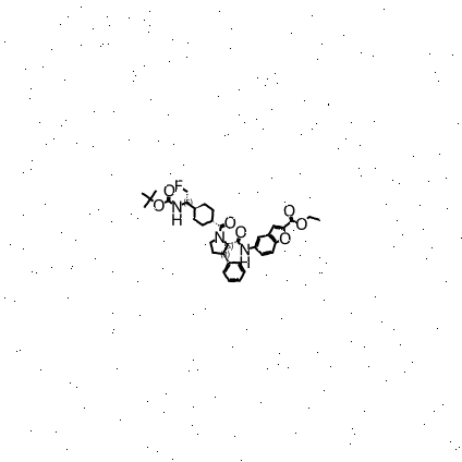 CCOC(=O)c1cc2cc(NC(=O)[C@@H]3[C@@H](c4ccccc4)CCN3C(=O)[C@H]3CC[C@H]([C@@H](CF)NC(=O)OC(C)(C)C)CC3)ccc2o1